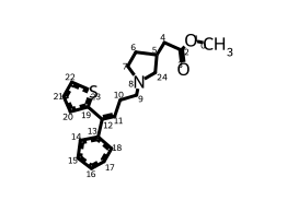 COC(=O)CC1CCN(CC/C=C(/c2ccccc2)c2cccs2)C1